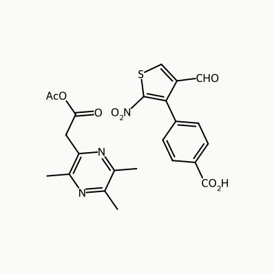 CC(=O)OC(=O)Cc1nc(C)c(C)nc1C.O=Cc1csc([N+](=O)[O-])c1-c1ccc(C(=O)O)cc1